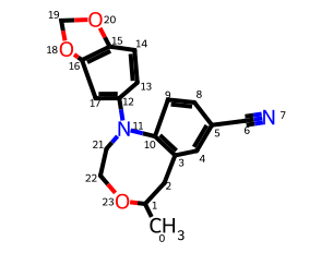 CC1Cc2cc(C#N)ccc2N(c2ccc3c(c2)OCO3)CCO1